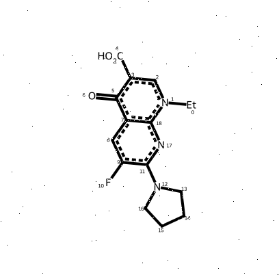 CCn1cc(C(=O)O)c(=O)c2cc(F)c(N3CCCC3)nc21